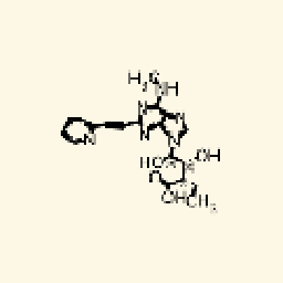 CC[C@H](C(=O)O)[C@@H](O)[C@@H](O)n1cnc2c(NC)nc(C#Cc3ccccn3)nc21